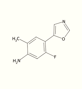 Cc1cc(-c2cnco2)c(F)cc1N